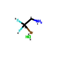 Cl.NCC(F)(F)Br